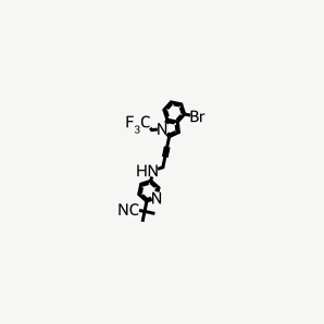 CC(C)(C#N)c1ccc(NCC#Cc2cc3c(Br)cccc3n2CC(F)(F)F)cn1